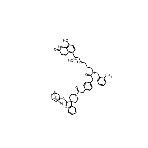 Cc1ccccc1CN(CCCNC[C@H](O)c1ccc(O)c2[nH]c(=O)ccc12)C(=O)Cc1ccc(CC(=O)N2CCC(C(=O)O[C@H]3CN4CCC3CC4)(c3ccccc3)CC2)cc1